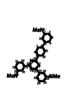 CNc1cccc(-c2ccc(-c3nc(-c4cccc(NC)c4)nc(-c4cccc(NC)c4)n3)cc2)c1